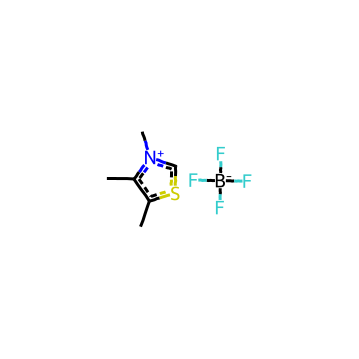 Cc1sc[n+](C)c1C.F[B-](F)(F)F